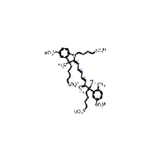 C=C(/C=C/C=C/C=C1/N(CCCCS(=O)(=O)O)c2ccc(S(=O)(=O)O)cc2C1(C)CCCCS(=O)(=O)O)C(C)(CCCCS(=O)(=O)O)c1cc(S(=O)(=O)O)ccc1C